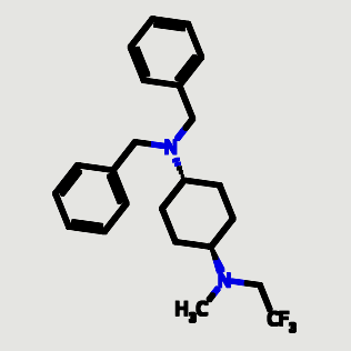 CN(CC(F)(F)F)[C@H]1CC[C@H](N(Cc2ccccc2)Cc2ccccc2)CC1